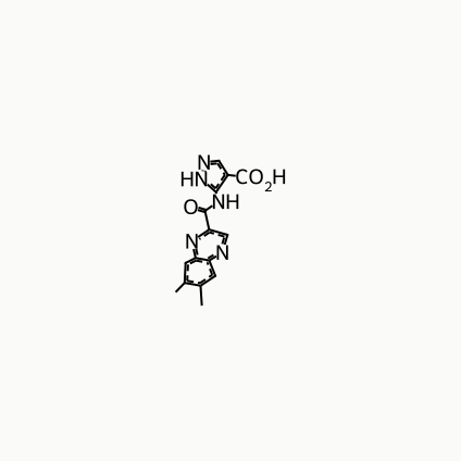 Cc1cc2ncc(C(=O)Nc3[nH]ncc3C(=O)O)nc2cc1C